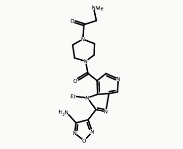 CCn1c(-c2nonc2N)nc2cncc(C(=O)N3CCN(C(=O)CNC)CC3)c21